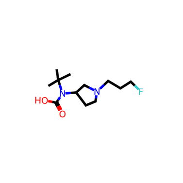 CC(C)(C)N(C(=O)O)C1CCN(CCCF)C1